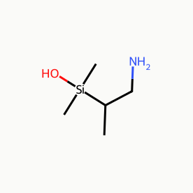 CC(CN)[Si](C)(C)O